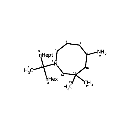 CCCCCCCC(C)(CCCCCC)N1CCCC(N)CC(C)(C)C1